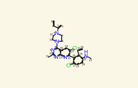 C=CC(=C)N1CCN(c2nc(C)nc3nc(-c4c(Cl)ccc(NC)c4C=C)c(Cl)cc23)CC1